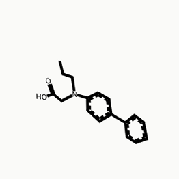 CCCN(CC(=O)O)c1ccc(-c2ccccc2)cc1